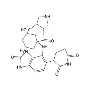 Cn1c(=O)[nH]c2ccc(C3CCC(=O)NC3=O)c(NC3(C(=O)C4CNCC4C(=O)O)CCCCC3)c21